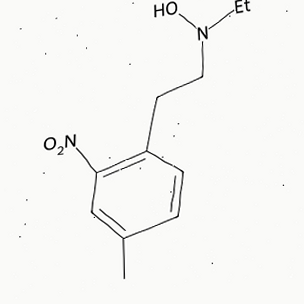 CCN(O)CCc1ccc(C)cc1[N+](=O)[O-]